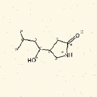 CC(C)CC(O)C1CNC(=O)C1